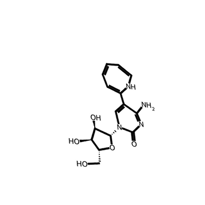 Nc1nc(=O)n([C@@H]2O[C@H](CO)[C@@H](O)[C@H]2O)cc1C1=CC=CC=CN1